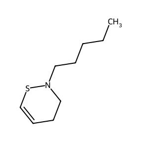 CCCCCN1CCC=CS1